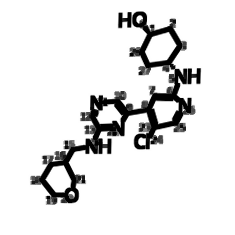 O[C@H]1CC[C@H](Nc2cc(-c3cncc(NCC4CCCOC4)n3)c(Cl)cn2)CC1